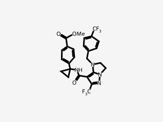 COC(=O)c1ccc(C2(NC(=O)c3c(C(F)(F)F)nn4c3N(Cc3ccc(C(F)(F)F)cc3)CC4)CC2)cc1